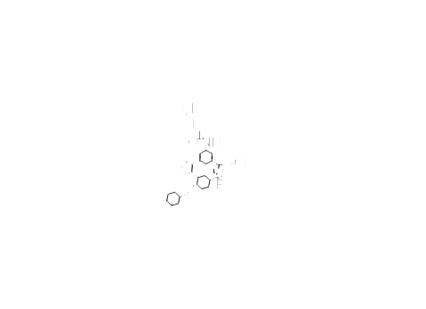 CCOC(=O)c1cc(NC(=O)CCCCCl)cc(C2=C(c3cc(C(F)(F)F)ccc3OCc3ccccc3)CCC2)c1